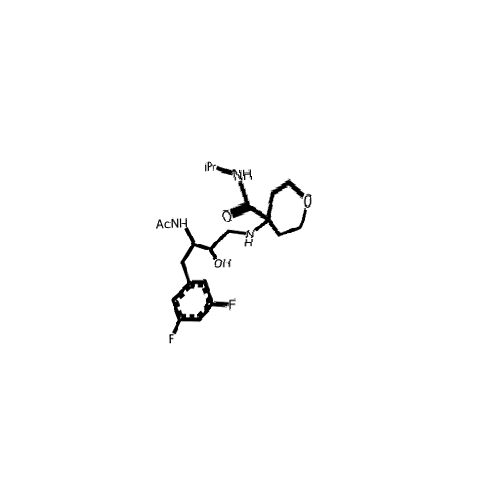 CC(=O)NC(Cc1cc(F)cc(F)c1)C(O)CNC1(C(=O)NC(C)C)CCOCC1